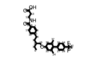 CCC(CCc1ccc(C(=O)NCCC(=O)O)cc1)COc1cc(C)c(-c2ccc(C(F)(F)F)cc2)c(C)c1